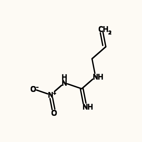 C=CCNC(=N)N[N+](=O)[O-]